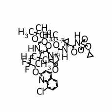 CC[C@@H]1C[C@]1(NC(=O)[C@@H]1C[C@@H](Oc2cc(OCC(F)(F)F)nc3c(Cl)cccc23)CN1C(=O)[C@@H](NC(=O)OC(C)(C)C)C(C)(C)C)C(=O)NS(=O)(=O)OC1CC1